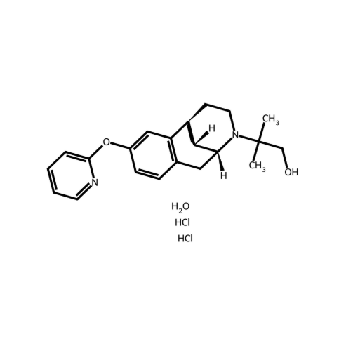 CC(C)(CO)N1CC[C@]23CCCC[C@H]2[C@H]1Cc1ccc(Oc2ccccn2)cc13.Cl.Cl.O